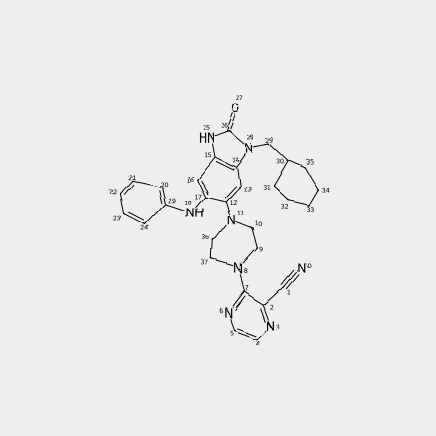 N#Cc1nccnc1N1CCN(c2cc3c(cc2Nc2ccccc2)[nH]c(=O)n3CC2CCCCC2)CC1